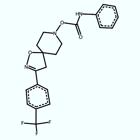 O=C(Nc1ccccc1)ON1CCC2(CC1)CC(c1ccc(C(F)(F)F)cc1)=NO2